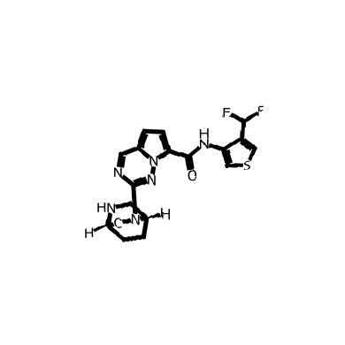 O=C(Nc1cscc1C(F)F)c1ccc2cnc(N3C[C@@H]4CC[C@H]3CN4)nn12